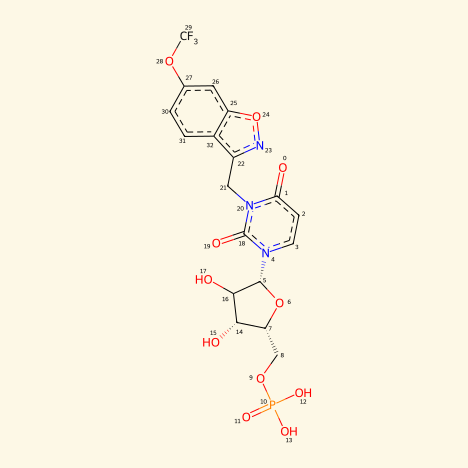 O=c1ccn([C@@H]2O[C@H](COP(=O)(O)O)[C@H](O)C2O)c(=O)n1Cc1noc2cc(OC(F)(F)F)ccc12